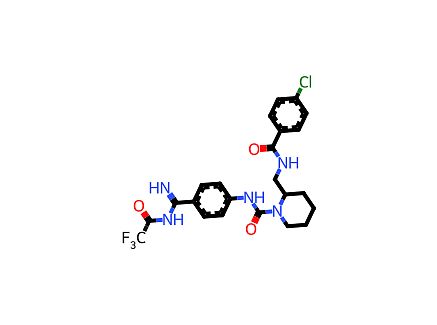 N=C(NC(=O)C(F)(F)F)c1ccc(NC(=O)N2CCCCC2CNC(=O)c2ccc(Cl)cc2)cc1